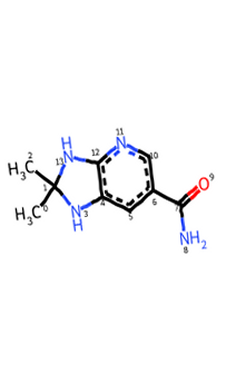 CC1(C)Nc2cc(C(N)=O)cnc2N1